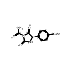 COc1ccc([C@H]2NC(=O)N(C(N)=O)C2=O)cc1